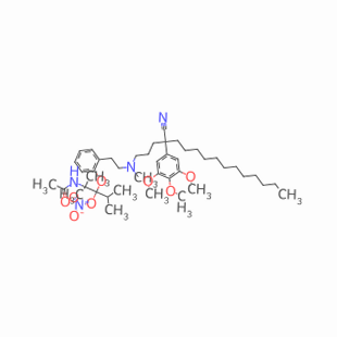 CCCCCCCCCCCCC(C#N)(CCCN(C)CCc1ccccc1OC(O[N+](=O)[O-])(C(C)C)C(C)(C)NC(C)=O)c1cc(OC)c(OC)c(OC)c1